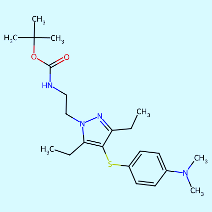 CCc1nn(CCNC(=O)OC(C)(C)C)c(CC)c1Sc1ccc(N(C)C)cc1